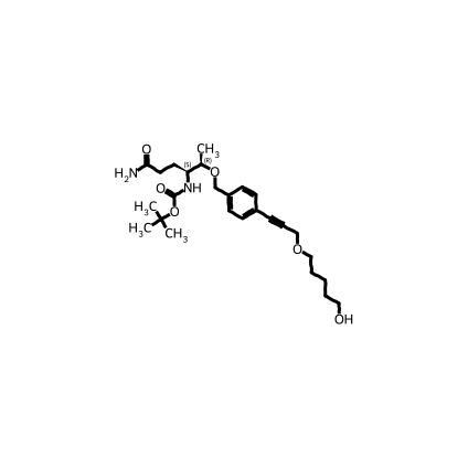 C[C@@H](OCc1ccc(C#CCOCCCCCO)cc1)[C@H](CCC(N)=O)NC(=O)OC(C)(C)C